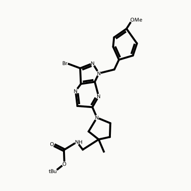 COc1ccc(Cn2nc(Br)c3ncc(N4CCC(C)(CNC(=O)OC(C)(C)C)C4)nc32)cc1